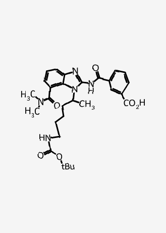 CC(CCCCNC(=O)OC(C)(C)C)n1c(NC(=O)c2cccc(C(=O)O)c2)nc2cccc(C(=O)N(C)C)c21